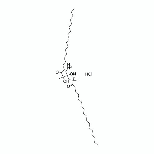 CCCCCCCCCCCCCCCCCC(=O)C(C)(O)CC(O)(CN)C(C)(O)C(=O)CCCCCCCCCCCCCCCCC.Cl